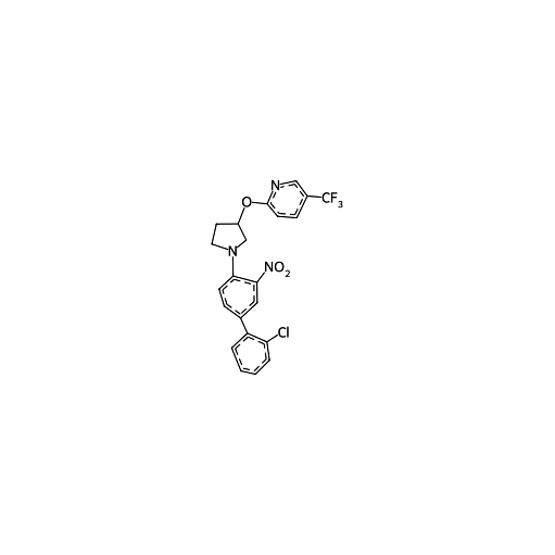 O=[N+]([O-])c1cc(-c2ccccc2Cl)ccc1N1CCC(Oc2ccc(C(F)(F)F)cn2)C1